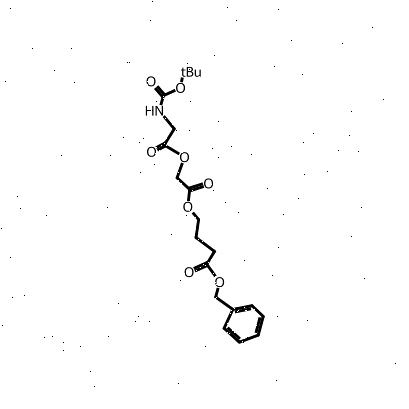 CC(C)(C)OC(=O)NCC(=O)OCC(=O)OCCCC(=O)OCc1ccccc1